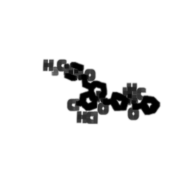 Cc1ccccc1C(=O)Nc1ccc(C(=O)N2CCCC(CC(=O)N3CCN(C)CC3)c3cc(Cl)ccc32)cc1.Cl